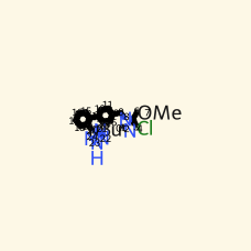 CCCCc1nc(Cl)c(COC)n1Cc1ccc(-c2ccccc2-c2nn[nH]n2)cc1